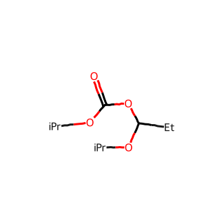 CCC(OC(=O)OC(C)C)OC(C)C